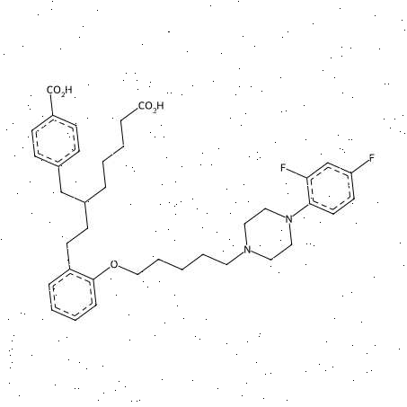 O=C(O)CCCCC(CCc1ccccc1OCCCCCN1CCN(c2ccc(F)cc2F)CC1)Cc1ccc(C(=O)O)cc1